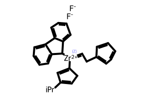 CC(C)C1=CC[C](/[Zr+2](=[CH]\Cc2ccccc2)[CH]2c3ccccc3-c3ccccc32)=C1.[F-].[F-]